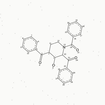 [O]C1C(C(=O)c2ccccc2)CCN(C(=O)c2ccccc2)C1C(=O)c1ccccc1